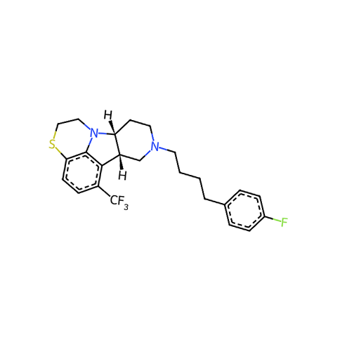 Fc1ccc(CCCCN2CC[C@@H]3[C@H](C2)c2c(C(F)(F)F)ccc4c2N3CCS4)cc1